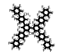 Cc1c(F)c(-c2c(F)c(-c3c(F)c(F)c(-c4c(F)c(F)c(F)c(F)c4F)c(F)c3F)c(C)c(-c3c(F)c(-c4c(F)c(F)c(-c5cc(F)c(F)c(F)c5F)c(F)c4F)c(F)c(-c4c(F)c(F)c(-c5c(F)c(F)c(F)c(F)c5F)c(F)c4F)c3F)c2F)c(F)c(F)c1-c1c(F)c(F)c(F)c(F)c1F